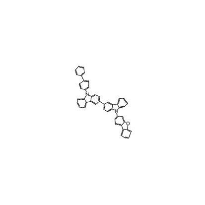 c1ccc(-c2ccc(-n3c4ccccc4c4cc(-c5ccc6c(c5)c5ccccc5n6-c5ccc6c(c5)oc5ccccc56)ccc43)cc2)cc1